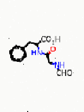 O=[C]NCC(=O)NC(Cc1ccccc1)C(=O)O